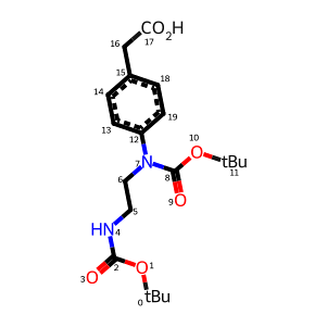 CC(C)(C)OC(=O)NCCN(C(=O)OC(C)(C)C)c1ccc(CC(=O)O)cc1